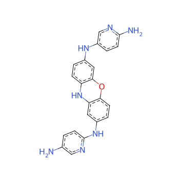 Nc1ccc(Nc2ccc3c(c2)Nc2ccc(Nc4ccc(N)nc4)cc2O3)nc1